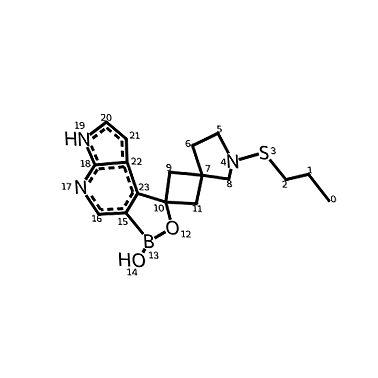 CCCSN1CCC2(C1)CC1(C2)OB(O)c2cnc3[nH]ccc3c21